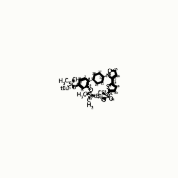 CC(C)(C)[Si](C)(C)Oc1ccc([C@H]2CC[C@@H](N3OCC=C3c3ccc(S(=O)(=O)Cl)s3)CC2)c(O[Si](C)(C)C(C)(C)C)c1